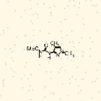 CONC(=O)Nc1nn(C)cc1C